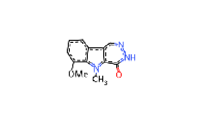 COc1cccc2c3cn[nH]c(=O)c3n(C)c12